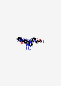 C=C(CCOCC)N1CC(c2nc(-c3ccc(C(=O)Nc4ccccn4)cc3)c3c(N)nccn23)CCC1C